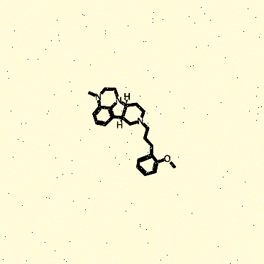 COc1ccccc1CCCN1CC[C@H]2[C@@H](C1)c1cccc3c1N2CCN3C